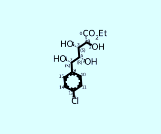 CCOC(=O)[C@H](O)[C@@H](O)[C@H](O)[C@@H](O)c1ccc(Cl)cc1